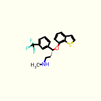 CNCC[C@@H](Oc1cccc2ccsc12)c1cccc(C(F)(F)F)c1